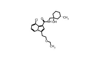 CCOCCc1cc(C(=O)NC[C@]2(O)CCC[C@H](C)C2)c2c(Cl)cccn12